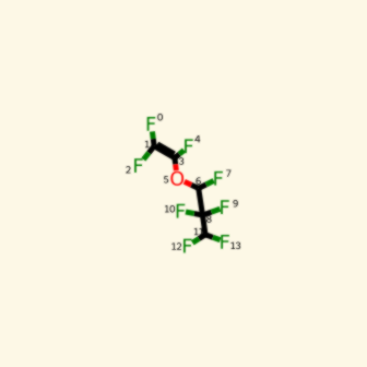 FC(F)=C(F)OC(F)C(F)(F)C(F)F